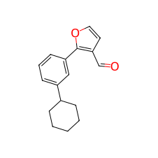 O=Cc1ccoc1-c1cccc(C2CCCCC2)c1